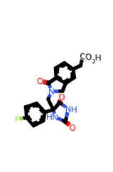 O=C(O)Cc1ccc2c(c1)CN(CC1(c3ccc(F)cc3)NC(=O)NC1=O)C2=O